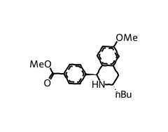 CCCC[C@H]1Cc2cc(OC)ccc2[C@H](c2ccc(C(=O)OC)cc2)N1